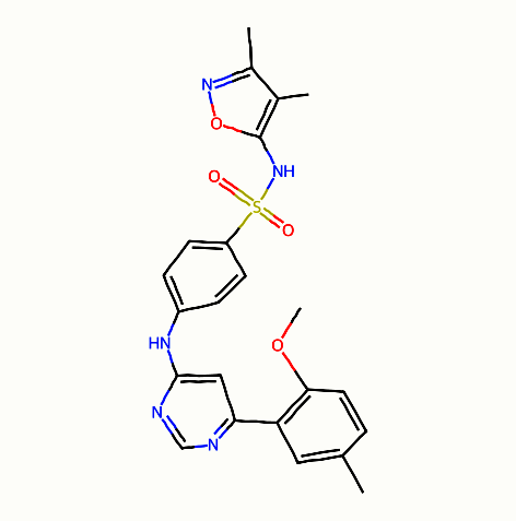 COc1ccc(C)cc1-c1cc(Nc2ccc(S(=O)(=O)Nc3onc(C)c3C)cc2)ncn1